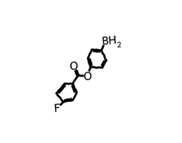 Bc1ccc(OC(=O)c2ccc(F)cc2)cc1